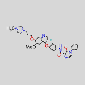 COc1cc2c(Oc3ccc(NC(=O)c4nccn(-c5ccccc5)c4=O)cc3F)ccnc2cc1OCCCN1CCN(C)CC1